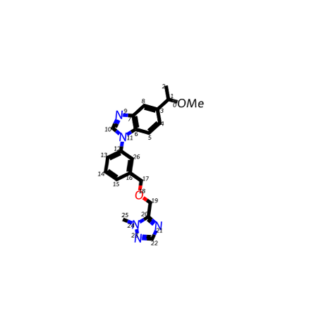 COC(C)c1ccc2c(c1)ncn2-c1cccc(COCc2ncnn2C)c1